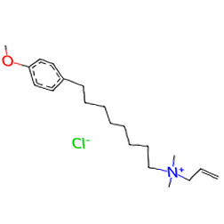 C=CC[N+](C)(C)CCCCCCCCc1ccc(OC)cc1.[Cl-]